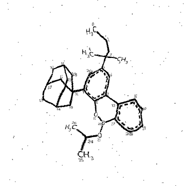 CCC(C)(C)c1cc2c(c(C34CC5CC(CC(C5)C3)C4)c1)OB(OC(C)C)c1ccccc1-2